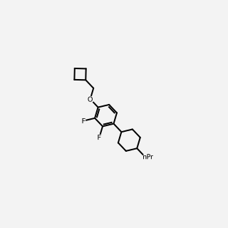 CCCC1CCC(c2ccc(OCC3CCC3)c(F)c2F)CC1